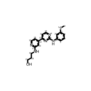 CSc1cccc(Nc2nccc(-c3ccnc(NCCCO)c3)n2)c1